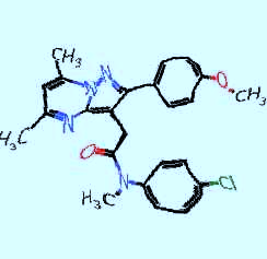 COc1ccc(-c2nn3c(C)cc(C)nc3c2CC(=O)N(C)c2ccc(Cl)cc2)cc1